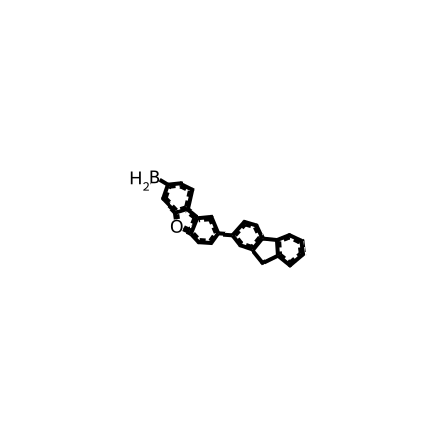 Bc1ccc2c(c1)oc1ccc(-c3ccc4c(c3)Cc3ccccc3-4)cc12